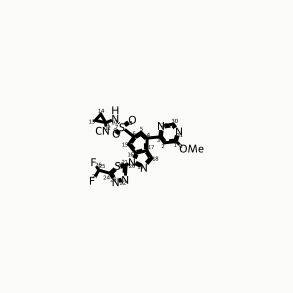 COc1cc(-c2cc(S(=O)(=O)NC3(C#N)CC3)cc3c2cnn3-c2nnc(C(F)F)s2)ncn1